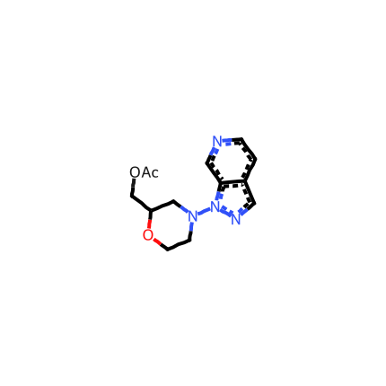 CC(=O)OCC1CN(n2ncc3ccncc32)CCO1